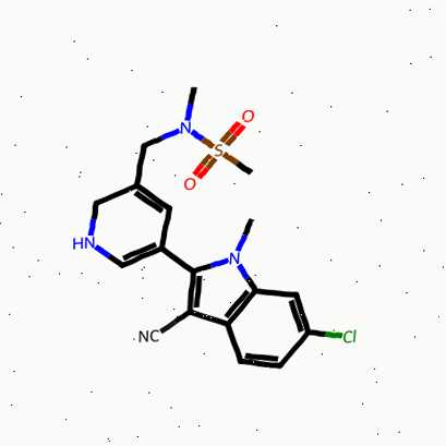 CN(CC1=CC(c2c(C#N)c3ccc(Cl)cc3n2C)=CNC1)S(C)(=O)=O